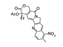 CC[C@@]1(OC(C)=O)C(=O)OCc2c1cc1n(c2=O)Cc2cc3c([N+](=O)[O-])c(C)ccc3nc2-1